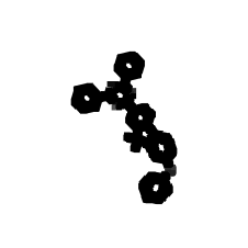 CC1(C)c2cc(Oc3ccccc3)ccc2-c2ccc(-c3nc(-c4ccccc4)nc(-c4ccccc4)n3)cc21